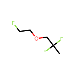 CC(F)(F)COCCF